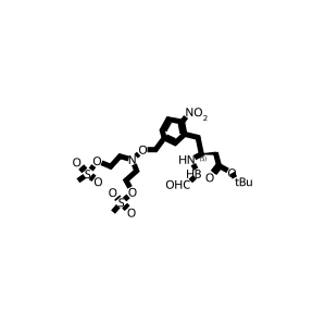 CC(C)(C)OC(=O)C[C@H](Cc1cc(CON(CCOS(C)(=O)=O)CCOS(C)(=O)=O)ccc1[N+](=O)[O-])NBC=O